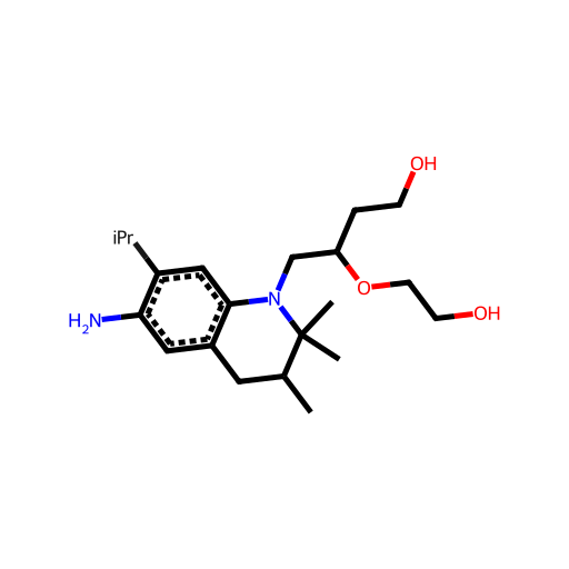 CC(C)c1cc2c(cc1N)CC(C)C(C)(C)N2CC(CCO)OCCO